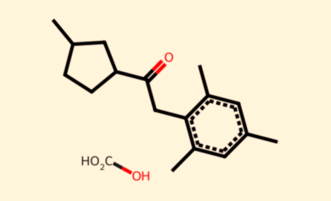 Cc1cc(C)c(CC(=O)C2CCC(C)C2)c(C)c1.O=C(O)O